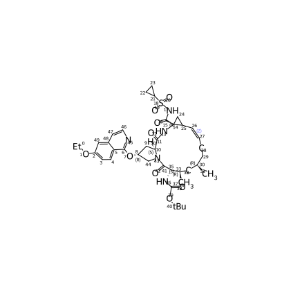 CCOc1ccc2c(O[C@@H]3C[C@H]4C(=O)N[C@]5(C(=O)NS(=O)(=O)C6CC6)CC5/C=C\CC[C@@H](C)C[C@@H](C)[C@H](NC(=O)OC(C)(C)C)C(=O)N4C3)nccc2c1